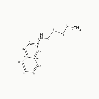 CCCCCNc1ccc2ccc[c]c2c1